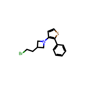 BrCCC1CN(c2ccsc2-c2ccccc2)C1